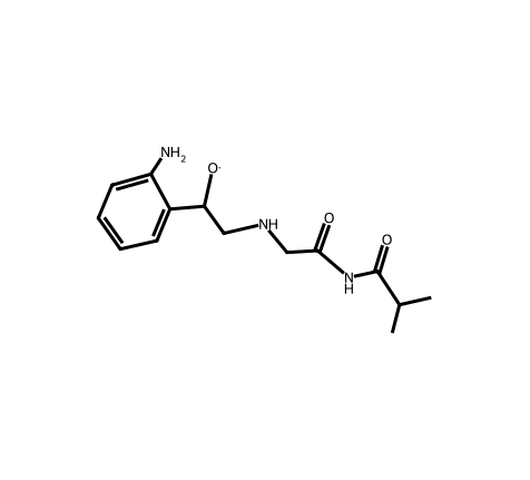 CC(C)C(=O)NC(=O)CNCC([O])c1ccccc1N